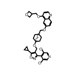 Clc1cncc(Cl)c1-c1noc(C2CC2)c1COC12CCC(COc3ccc4nccc(OCC5COC5)c4c3)(CC1)CC2